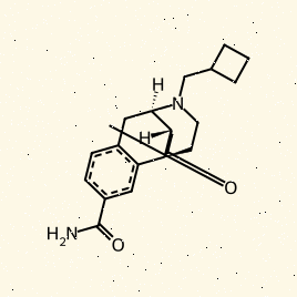 NC(=O)c1ccc2c(c1)[C@]13CCN(CC4CCC4)[C@H](C2)[C@@H]1CCC(=O)C3